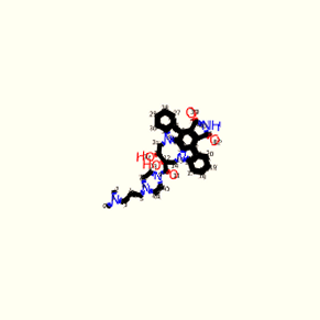 CN(C)CCCN1CCN(C(=O)C2(O)Cn3c4ccccc4c4c5c(c6c7ccccc7n(c6c43)CC2O)C(=O)NC5=O)CC1